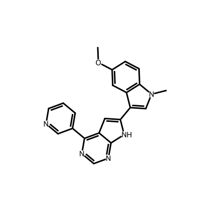 COc1ccc2c(c1)c(-c1cc3c(-c4cccnc4)ncnc3[nH]1)cn2C